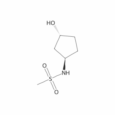 CS(=O)(=O)N[C@@H]1CC[C@@H](O)C1